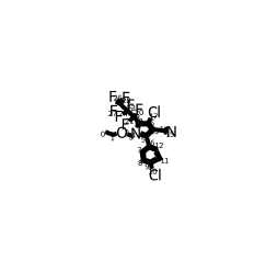 CCOCn1c(-c2ccc(Cl)cc2)c(C#N)c(Cl)c1C(F)(F)C(F)(F)C(F)(F)F